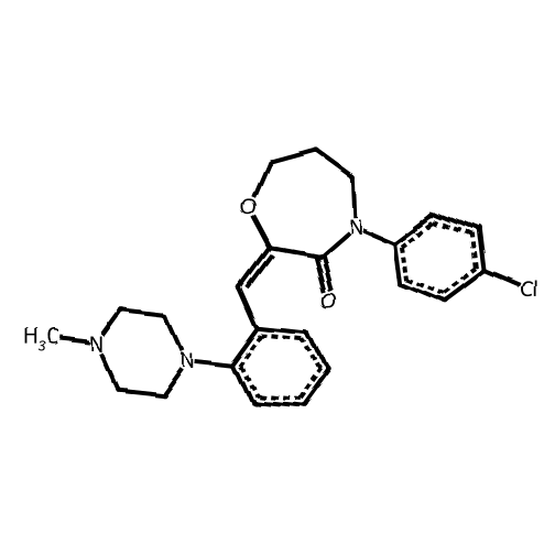 CN1CCN(c2ccccc2/C=C2/OCCCN(c3ccc(Cl)cc3)C2=O)CC1